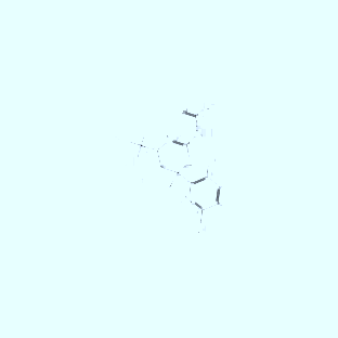 C[C@]1(c2nc(Br)ccc2F)OC(NC(=O)O)=N[C@H](C(F)(F)F)[C@H]1F